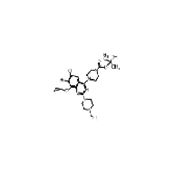 CN1CCN(c2nc(N3CCN(C(=O)OC(C)(C)C)CC3)c3cc(Cl)c(Br)c(OC4CC4)c3n2)CC1